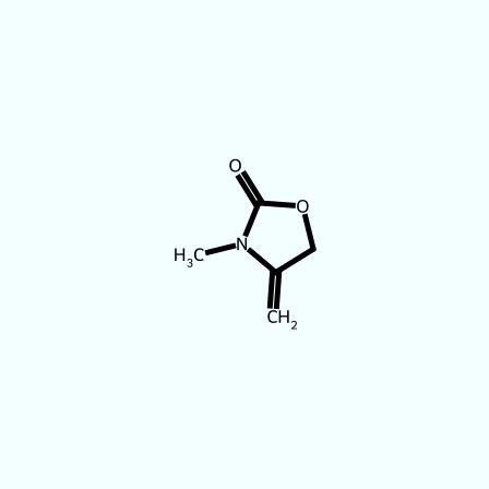 C=C1COC(=O)N1C